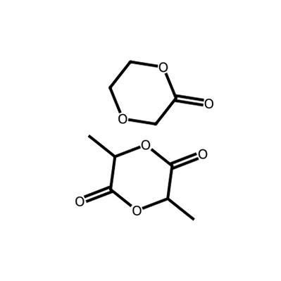 CC1OC(=O)C(C)OC1=O.O=C1COCCO1